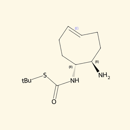 CC(C)(C)SC(=O)N[C@@H]1CC/C=C/CC[C@H]1N